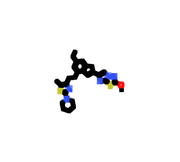 CCc1cc(CCc2nc(N3CCCCC3)sc2C)c2c(c1)CC(c1cn3nc(OC)sc3n1)=C2